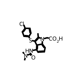 Cc1c(Sc2ccc(Cl)cc2)c2c(NC(=O)N(C)C)cccc2n1CC(=O)O